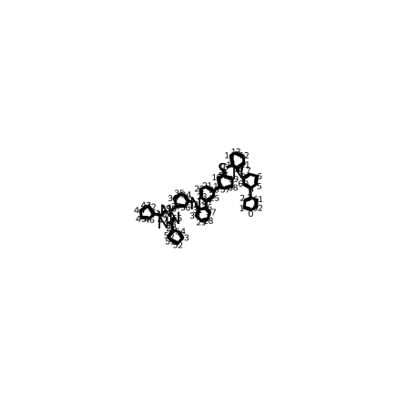 c1ccc(-c2cccc(N3c4ccccc4Sc4cc(-c5ccc6c(c5)c5ccccc5n6-c5cccc(-c6nc(-c7ccccc7)nc(-c7ccccc7)n6)c5)ccc43)c2)cc1